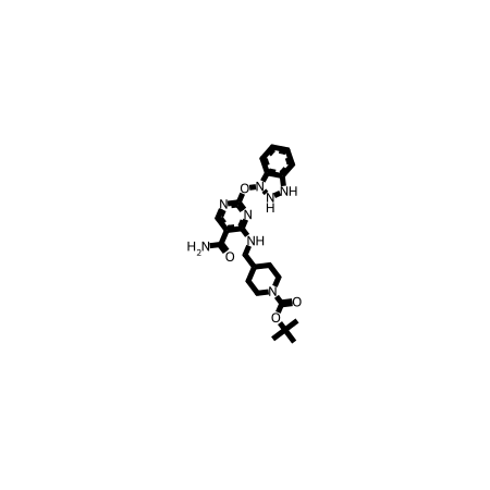 CC(C)(C)OC(=O)N1CCC(CNc2nc(ON3NNc4ccccc43)ncc2C(N)=O)CC1